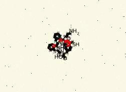 NCCCC[C@H](NC(=O)[C@@H](N)CS)C(=O)N[C@@H](Cc1ccccc1)C(=O)N[C@@H](Cc1ccccc1)C(=O)N[C@H](Cc1ccc2ccccc2c1)C(=O)O